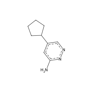 Nc1cc(C2CCCC2)cnn1